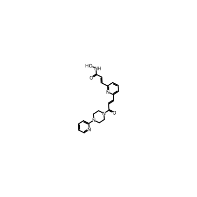 O=C(C=Cc1cccc(C=CC(=O)N2CCN(c3ccccn3)CC2)n1)NO